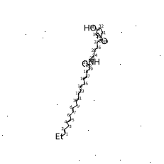 CC/C=C/C/C=C/C/C=C/C/C=C/C/C=C/C/C=C/CCC(=O)NCCCCCC(=O)N1CC[C@@H](O)C1